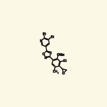 CCc1cc(-c2nc(-c3cc(C)c(C4CO4)c(CC)c3OC)no2)cnc1CC